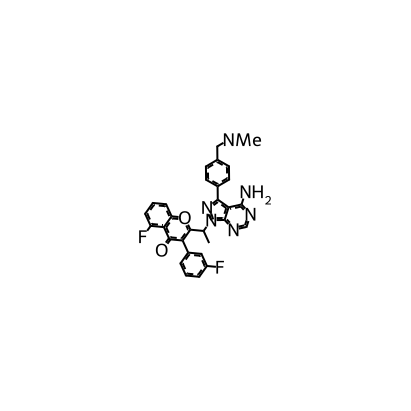 CNCc1ccc(-c2nn(C(C)c3oc4cccc(F)c4c(=O)c3-c3cccc(F)c3)c3ncnc(N)c23)cc1